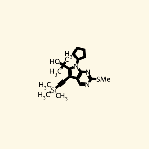 CSc1ncc2c(C#C[Si](C)(C)C)c(C(C)(C)O)n(C3CCCC3)c2n1